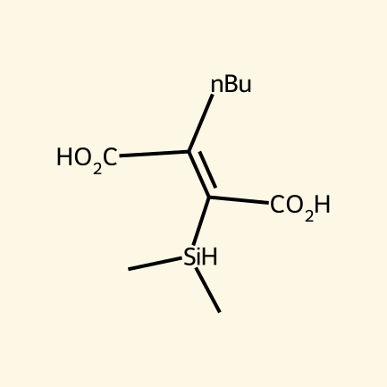 CCCC/C(C(=O)O)=C(\C(=O)O)[SiH](C)C